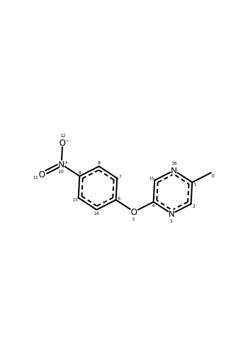 Cc1cnc(Oc2ccc([N+](=O)[O-])cc2)cn1